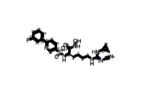 N#C/N=C(/NCCCC[C@@H](NS(=O)(=O)c1ccc(-c2cccc(F)c2)nc1)C(=O)NO)NC1CC1